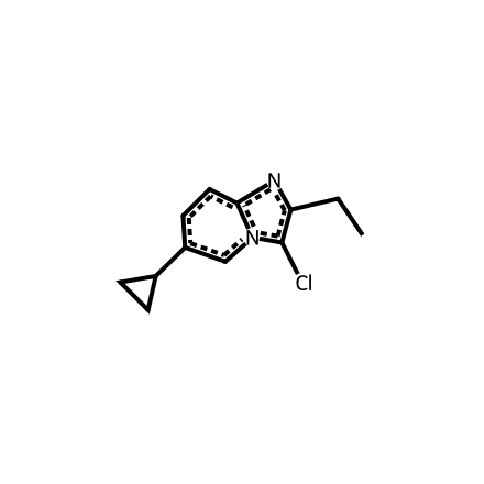 CCc1nc2ccc(C3CC3)cn2c1Cl